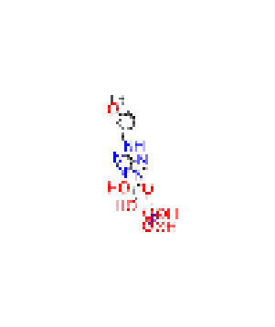 CCOc1cccc(CNc2ncnc3c2ncn3[C@@H]2O[C@H](COP(=O)(O)O)[C@@H](O)[C@H]2O)c1